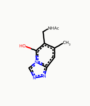 CC(=O)NCc1c(C)cc2nncn2c1O